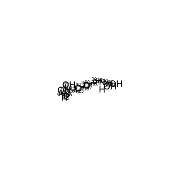 C[C@H](O)c1nccn1C(/C=C/c1ccc(-c2ccc(C3CC(CNCC(O)CO)C3)cc2)cc1)CO